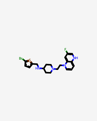 FC1=CNC2=CC=CN(CCN3CCC(NCc4ccc(Br)s4)CC3)C2=C1